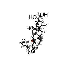 C[C@@H]1CC([C@H](O)C(C)(C)O)OC2C1[C@@]1(C)CCC34C[C@@]35CC[C@H](OC3CN([C@@H]6CCOC6)CCO3)C(C)(C)[C@@H]5CC[C@H]4[C@]1(C)[C@H]2O